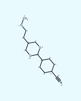 COCCC1COC(C2CCC(C#N)CC2)OC1